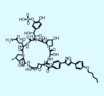 CCCCCOc1ccc(-c2cc(-c3ccc(C(=O)N[C@]45C[C@@H](O4)[C@@H](O)NC(=O)[C@@H]4[C@@H](O)[C@@H](C)CN4C(=O)[C@H]([C@H](O)CC(N)=O)NC(=O)[C@H]([C@H](O)[C@@H](O)c4ccc(O)c(OS(=O)(=O)O)c4)NC(=O)[C@@H]4C[C@@H](O)CN4C(=O)C(O)NC5=O)cc3)no2)cc1